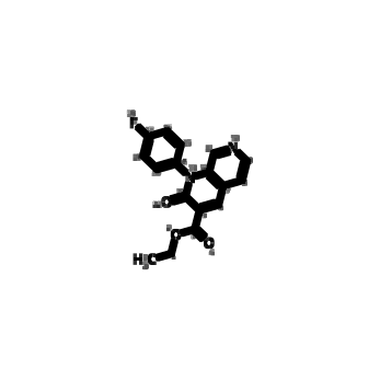 CCOC(=O)c1cc2ccncc2n(-c2ccc(F)cc2)c1=O